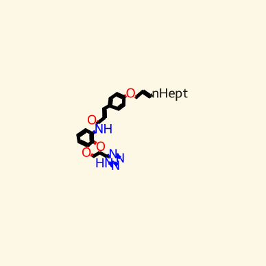 CCCCCCC/C=C/COc1ccc(C=CC(=O)Nc2cccc3c2OC(c2nnn[nH]2)CO3)cc1